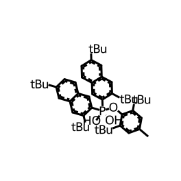 Cc1cc(C(C)(C)C)c(OP(O)(O)(c2cc3ccc(C(C)(C)C)cc3cc2C(C)(C)C)c2cc3ccc(C(C)(C)C)cc3cc2C(C)(C)C)c(C(C)(C)C)c1